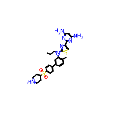 CCCN(c1nc(-c2nc(N)cc(N)n2)cs1)c1cc(-c2ccc(S(=O)(=O)C3CCNCC3)cc2)ccc1C